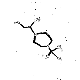 CC(CO)N1CCN(C(C)(C)C)CC1